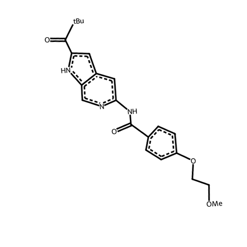 COCCOc1ccc(C(=O)Nc2cc3cc(C(=O)C(C)(C)C)[nH]c3cn2)cc1